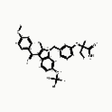 CCC(C)(Oc1cccc(Cn2c(C)c(C(=O)c3ccc(OC)cc3)c3ccc(OC(F)(F)F)cc32)c1)C(=O)O